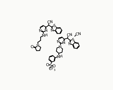 CC#N.N#CC(c1ccnc(N2CCC(Nc3cccc(S(=O)(=O)C(F)(F)F)c3)CC2)n1)c1nc2ccccc2s1.N#CC(c1ccnc(NCCCN2CCCC2=O)n1)c1nc2ccccc2s1